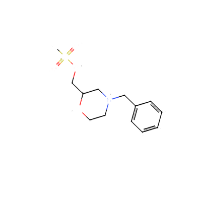 CS(=O)(=O)OCC1CN(Cc2ccccc2)CCO1